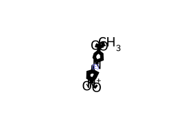 COC(=O)C1CCC(/N=C/c2ccc([N+](=O)[O-])cc2)CC1